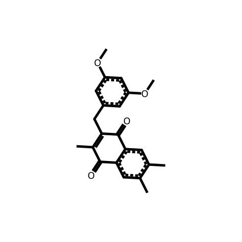 COc1cc(CC2=C(C)C(=O)c3cc(C)c(C)cc3C2=O)cc(OC)c1